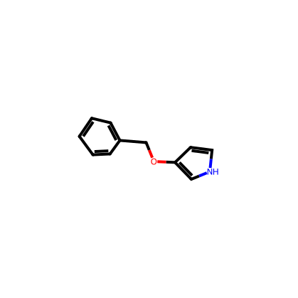 c1ccc(COc2cc[nH]c2)cc1